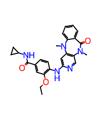 CCOc1cc(C(=O)NC2CC2)ccc1Nc1cc2c(cn1)N(C)C(=O)c1ccccc1N2C